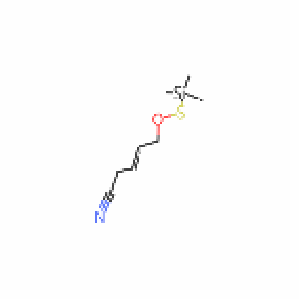 C[Si](C)(C)SOCC=CCC#N